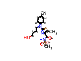 Cc1sc(N(CCCCO)c2ccc(C#N)cc2)nc1C(=O)NS(C)(=O)=O